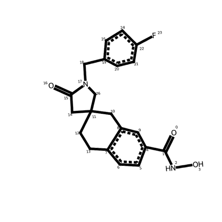 O=C(NO)c1ccc2c(c1)CC1(CC2)CC(=O)N(Cc2ccc(F)cc2)C1